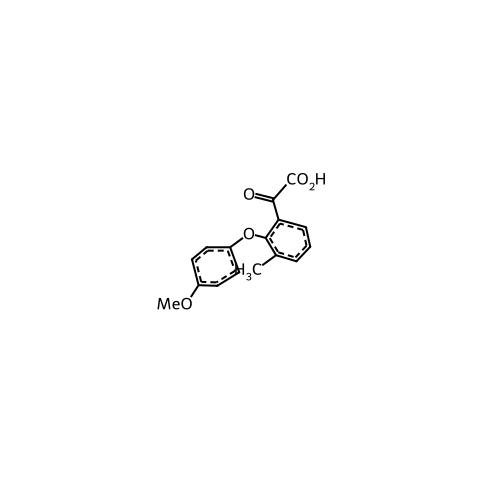 COc1ccc(Oc2c(C)cccc2C(=O)C(=O)O)cc1